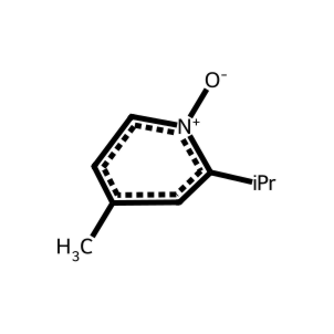 Cc1cc[n+]([O-])c(C(C)C)c1